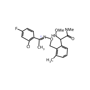 CNC(=O)C(NOC)c1cccc(C)c1CO/N=C(\C)c1ccc(F)cc1Cl